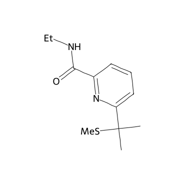 CCNC(=O)c1cccc(C(C)(C)SC)n1